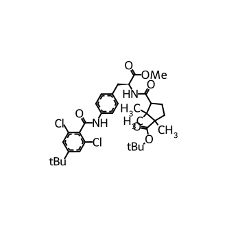 COC(=O)[C@H](Cc1ccc(NC(=O)c2c(Cl)cc(C(C)(C)C)cc2Cl)cc1)NC(=O)C1CCC(C)(C(=O)OC(C)(C)C)C1(C)C